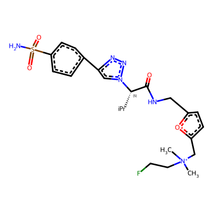 CC(C)[C@@H](C(=O)NCc1ccc(C[N+](C)(C)CCF)o1)n1cc(-c2ccc(S(N)(=O)=O)cc2)nn1